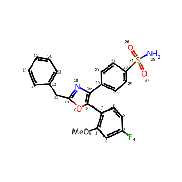 COc1cc(F)ccc1-c1oc(Cc2ccccc2)nc1-c1ccc(S(N)(=O)=O)cc1